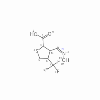 O=C(O)C1SCC(C(F)(F)F)C1/C=N\O